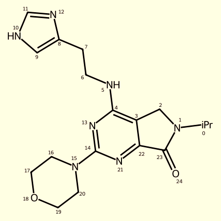 CC(C)N1Cc2c(NCCc3c[nH]cn3)nc(N3CCOCC3)nc2C1=O